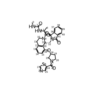 CNC(=O)NC(C)C(=O)N1CCc2cccc(OC3CCN(C(=O)c4cncs4)C3)c2[C@H]1CN1C(=O)c2ccccc2C1=O